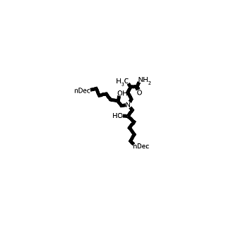 CCCCCCCCCCCCCCC(O)CN(CCC(C)C(N)=O)CC(O)CCCCCCCCCCCCCC